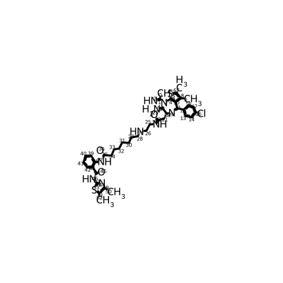 CC(=N)N1c2sc(C)c(C)c2C(c2ccc(Cl)cc2)=N[C@@H](CC(=O)NCCNCCCCCCCC(=O)Nc2ccccc2C(=O)Nc2nc(C)c(C)s2)C1N